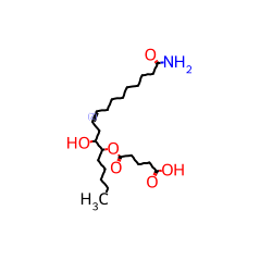 CCCCCC(OC(=O)CCCC(=O)O)C(O)C/C=C\CCCCCCCC(N)=O